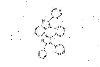 C1=CC(c2nnc(-c3ccccc3-n3c(-c4ccccc4)nc4ccccc43)n2-c2ccccc2)C=C1